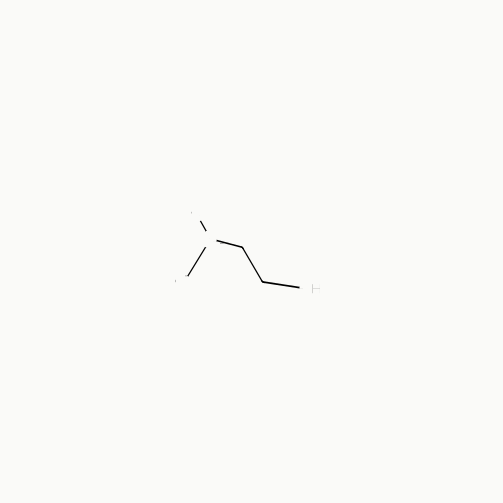 CCC[S+]([O-])Cl